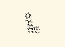 CO[C@H]1CCC[C@@H]1NC1=N/C(=C\c2ccc3nccnc3c2)C(=O)N1